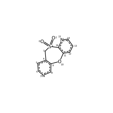 O=S1(=O)Cc2ccncc2Oc2cccnc21